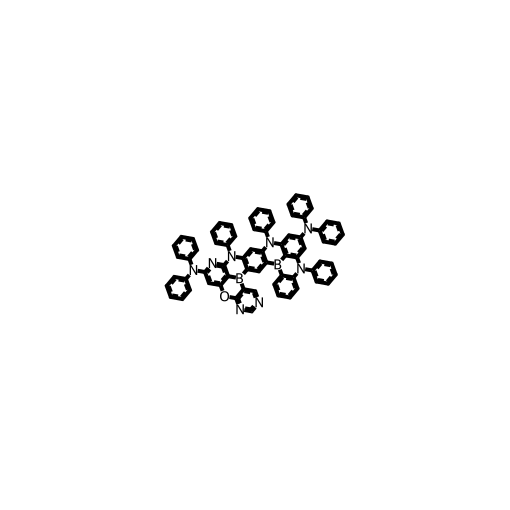 c1ccc(N(c2ccccc2)c2cc3c4c(c2)N(c2ccccc2)c2cc5c(cc2B4c2ccccc2N3c2ccccc2)B2c3cncnc3Oc3cc(N(c4ccccc4)c4ccccc4)nc(c32)N5c2ccccc2)cc1